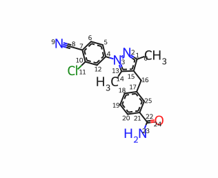 Cc1nn(-c2ccc(C#N)c(Cl)c2)c(C)c1Cc1cccc(C(N)=O)c1